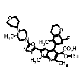 Cc1nc2c(cc(-c3nnc(N4CCN(C5CCOCC5)[C@H](C)C4)o3)n2C)c(-c2cc(F)c3c(c2C)CCCO3)c1[C@H](OC(C)(C)C)C(=O)O